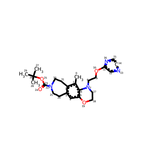 Cc1c2c(cc3c1N(CCOc1cnccn1)CCO3)CCN(C(=O)OC(C)(C)C)CC2